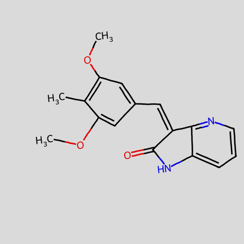 COc1cc(C=C2C(=O)Nc3cccnc32)cc(OC)c1C